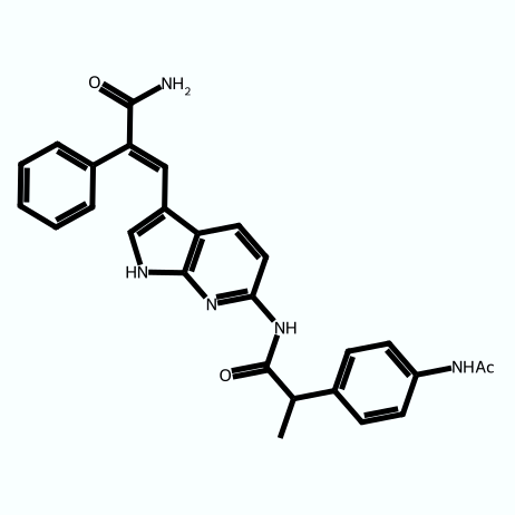 CC(=O)Nc1ccc(C(C)C(=O)Nc2ccc3c(/C=C(/C(N)=O)c4ccccc4)c[nH]c3n2)cc1